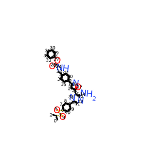 CC(C)S(=O)(=O)c1ccc(-c2cnc(N)c(-c3cc(-c4ccc(CNC(=O)Oc5ccccc5)cc4)no3)n2)cc1